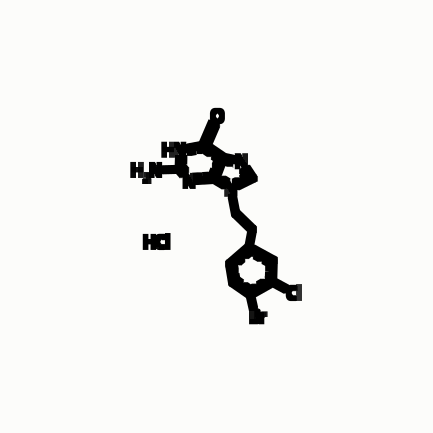 Cl.Nc1nc2c(ncn2CCc2ccc(Br)c(Cl)c2)c(=O)[nH]1